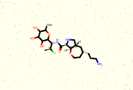 CSC1OC([C@H](NC(=O)[C@H]2NC[C@@H]3C[C@H](CCCN)CCO[C@H]32)[C@H](C)Cl)C(O)C(O)C1O